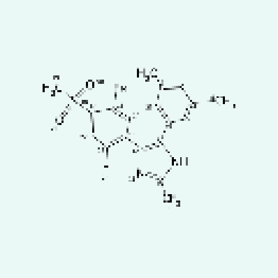 Cc1cc(C)cc(-c2[nH]c(C(F)(F)F)nc2-c2cc(F)c(S(C)(=O)=O)cc2F)c1